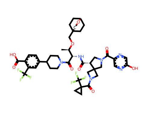 C[C@@H](OCC12CCC(CC1)OC2)[C@H](NC(=O)[C@@H]1CN(C(=O)c2cnc(O)cn2)CC12CN(C(=O)C1(C(F)(F)F)CC1)C2)C(=O)N1CCC(c2ccc(C(=O)O)c(C(F)(F)F)c2)CC1